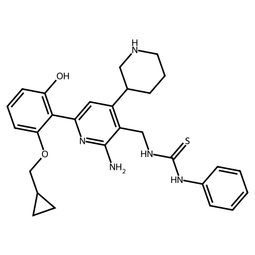 Nc1nc(-c2c(O)cccc2OCC2CC2)cc(C2CCCNC2)c1CNC(=S)Nc1ccccc1